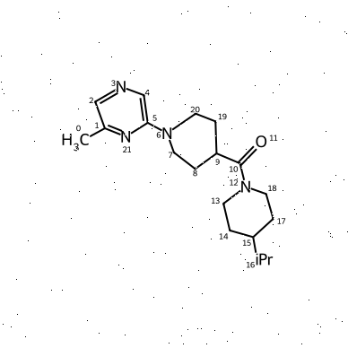 Cc1cncc(N2CCC(C(=O)N3CCC(C(C)C)CC3)CC2)n1